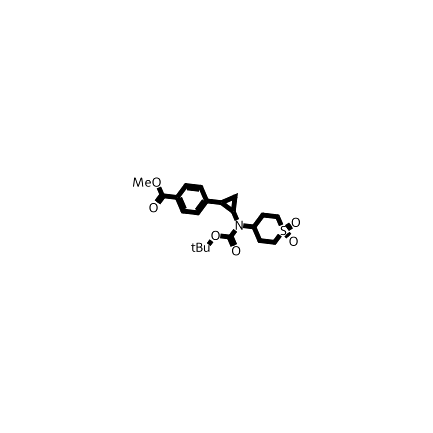 COC(=O)c1ccc(C2CC2N(C(=O)OC(C)(C)C)C2CCS(=O)(=O)CC2)cc1